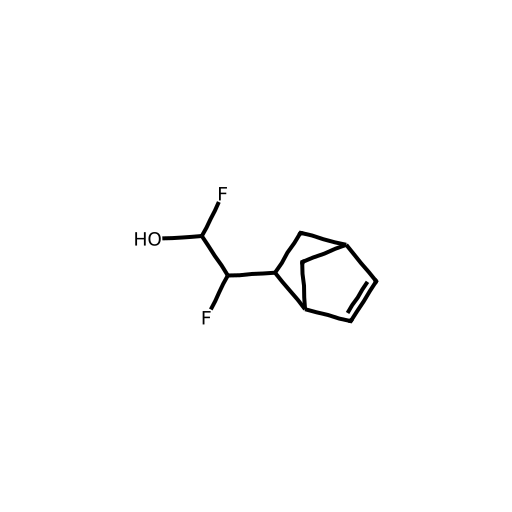 OC(F)C(F)C1CC2C=CC1C2